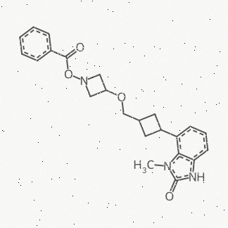 Cn1c(=O)[nH]c2cccc(C3CC(COC4CN(OC(=O)c5ccccc5)C4)C3)c21